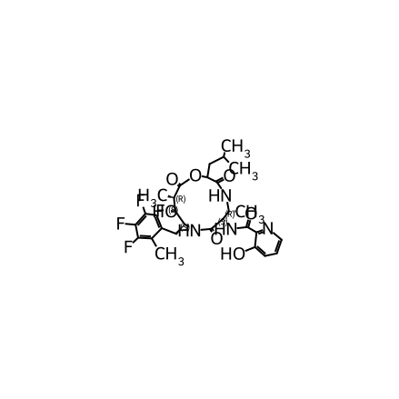 Cc1c(F)c(F)c(F)c(F)c1C[C@@H]1NC(=O)[C@@H](NC(=O)c2ncccc2O)[C@@H](C)NC(=O)C(CC(C)C)OC(=O)[C@H](C)[C@@H]1O